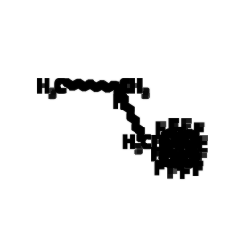 CCCCCCCCCC[NH+](C)CCCCCCCCCC.Fc1c(F)c(F)c([B-](c2c(F)c(F)c(F)c(F)c2F)(c2c(F)c(F)c(F)c(F)c2F)c2c(F)c(F)c(F)c(F)c2F)c(F)c1F